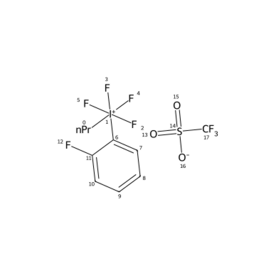 CCC[I+](F)(F)(F)(F)c1ccccc1F.O=S(=O)([O-])C(F)(F)F